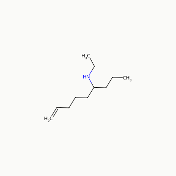 C=CCCCC(CCC)NCC